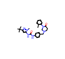 Cc1ccccc1N1CN(Cc2ccc(NC(=O)Nc3cc(C(C)(C)C)nn3C)cc2)CCC1=O